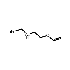 C=COCC[AsH]CCCC